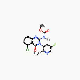 CCN(C(=O)OC(C)(C)C)c1nc2cccc(Cl)c2c(=O)n1-c1cc(F)cnc1C